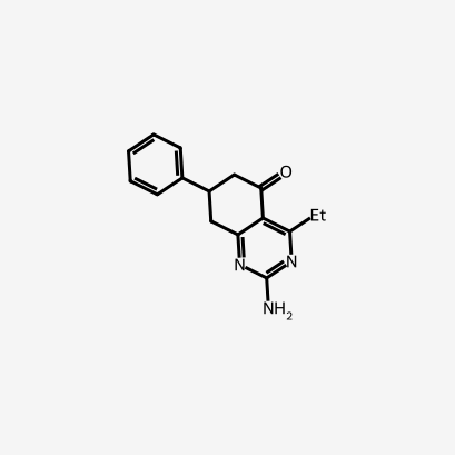 CCc1nc(N)nc2c1C(=O)CC(c1ccccc1)C2